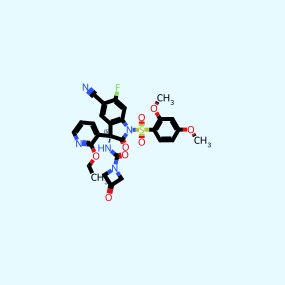 CCOc1ncccc1[C@]1(NC(=O)N2CC(=O)C2)C(=O)N(S(=O)(=O)c2ccc(OC)cc2OC)c2cc(F)c(C#N)cc21